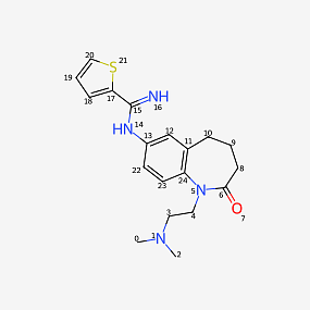 CN(C)CCN1C(=O)CCCc2cc(NC(=N)c3cccs3)ccc21